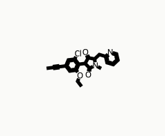 CC#Cc1cc(Cl)c(C2C(=O)C(Cc3ccccn3)N(C)C2=O)c(OCC)c1